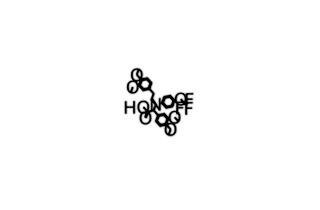 COc1ccc(CCN(c2ccc(OC(F)(F)F)cc2)C(C(=O)O)c2ccc(OC)c(OC)c2)cc1OC